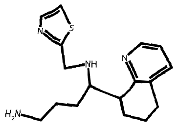 NCCCC(NCc1nccs1)C1CCCc2cccnc21